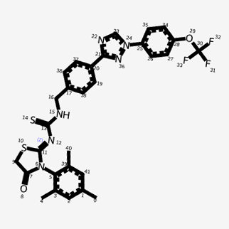 Cc1cc(C)c(N2C(=O)CS/C2=N\C(=S)NCc2ccc(-c3ncn(-c4ccc(OC(F)(F)F)cc4)n3)cc2)c(C)c1